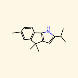 Cc1ccc2c(c1)C(C)(C)c1cc(C(C)C)[nH]c1-2